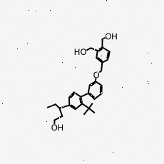 CCC(CCO)c1ccc(-c2cccc(OCc3ccc(CO)c(CO)c3)c2)c(C(C)(C)C)c1